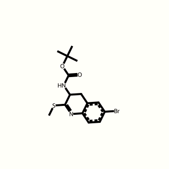 CSC1=Nc2ccc(Br)cc2CC1NC(=O)OC(C)(C)C